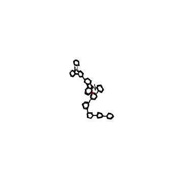 c1ccc(-c2ccc(-c3cccc(-c4cccc(-c5ccc(-c6ccccc6-n6c7ccccc7c7cc(-c8ccc9c(c8)c8ccccc8n9-c8ccccc8)ccc76)cc5)c4)c3)cc2)cc1